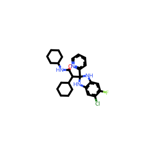 O=C(NC1CCCCC1)C(C1CCCCC1)C1(c2ccccn2)Nc2cc(F)c(Cl)cc2N1